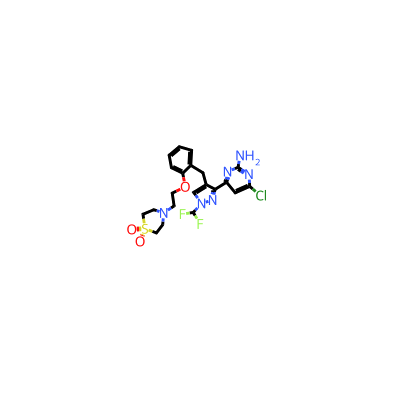 Nc1nc(Cl)cc(-c2nn(C(F)F)cc2Cc2ccccc2OCCN2CCS(=O)(=O)CC2)n1